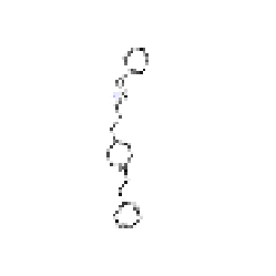 C(/CCC1CCN(CCc2ccccc2)CC1)=N\Oc1ccccc1